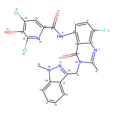 Cc1nc2c(F)ccc(NC(=O)c3cc(Cl)c(O)c(Cl)n3)c2c(=O)n1Cc1nn(C)c2ccccc12